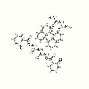 NC(=O)NC(N)=O.O=C(NOC(=O)c1ccccc1Cl)NC(=O)NOC(=O)c1ccccc1Cl.c1cc2cccc3c4cccc5cccc(c(c1)c23)c54